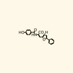 O=C(O)/C(=C\c1ccc(-c2ccccc2)o1)NC(=O)c1ccc(O)cc1